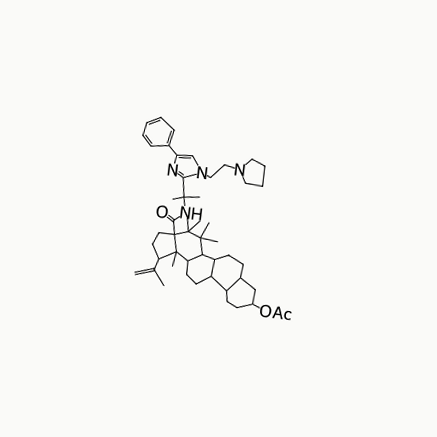 C=C(C)C1CCC2(C(=O)NC(C)(C)c3nc(-c4ccccc4)cn3CCN3CCCC3)C1(C)C1CCC3C4CCC(OC(C)=O)CC4CCC3C1C(C)(C)C2(C)C